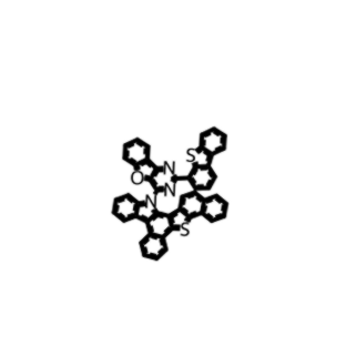 c1ccc2c(c1)ccc1c2sc2c3ccccc3c3c4ccccc4n(-c4nc(-c5cccc6c5sc5ccccc56)nc5c4oc4ccccc45)c3c12